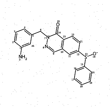 Nc1cccc(Cn2ncc3cc([S+]([O-])c4ccccc4)ccc3c2=O)c1